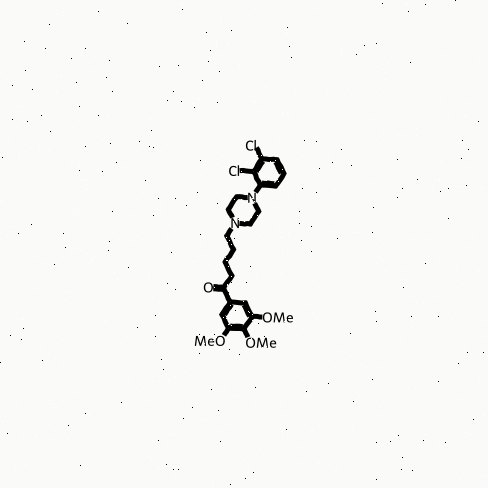 COc1cc(C(=O)CCCCN2CCN(c3cccc(Cl)c3Cl)CC2)cc(OC)c1OC